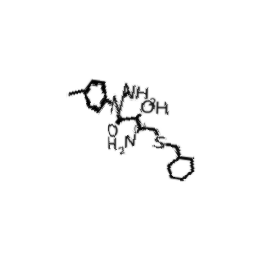 Cc1ccc(N(N)C(=O)C(O)[C@H](N)CSCC2CCCCC2)cc1